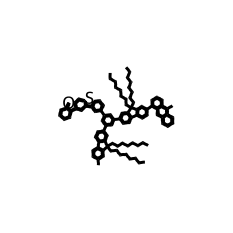 CCCCCCCCC1(CCCCCCCC)c2cc(C)ccc2-c2ccc(-c3cc(-c4ccc5c(c4)C(CCCCCCCC)(CCCCCCCC)c4cc(-c6cccc7c(C)c8ccccc8cc67)ccc4-5)cc(-c4ccc5sc6cc7oc8ccccc8c7cc6c5c4)c3)cc21